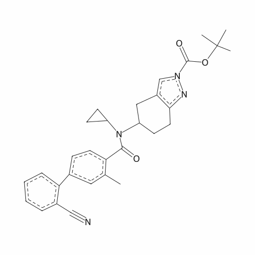 Cc1cc(-c2ccccc2C#N)ccc1C(=O)N(C1CC1)C1CCc2nn(C(=O)OC(C)(C)C)cc2C1